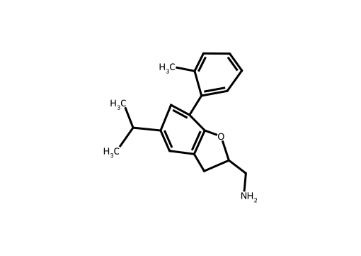 Cc1ccccc1-c1cc(C(C)C)cc2c1OC(CN)C2